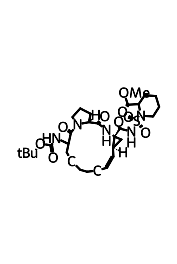 COC(=O)C1CCCCN1S(=O)(=O)NC(=O)[C@@]12C[C@H]1/C=C\CCCCCC(NC(=O)OC(C)(C)C)C(=O)N1CCC[C@H]1C(=O)N2